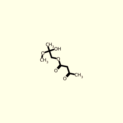 COC(C)(O)COC(=O)CC(C)=O